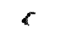 CO[C@H]1CC[C@@H](N2CC(N3Cc4cccc(C(N)=O)c4C3=O)C2)CC1